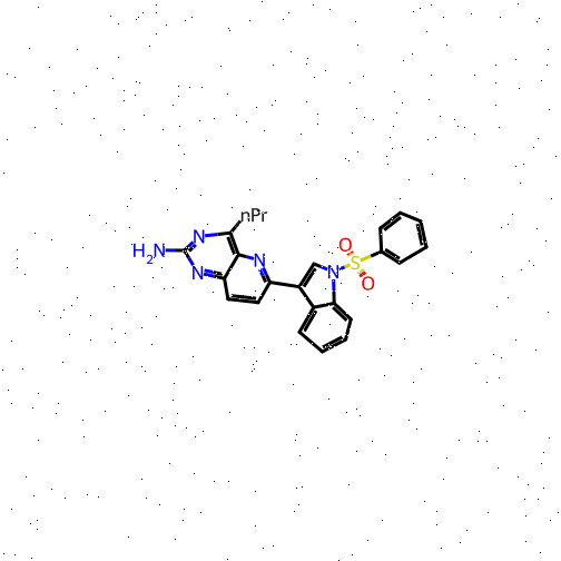 CCCc1nc(N)nc2ccc(-c3cn(S(=O)(=O)c4ccccc4)c4ccccc34)nc12